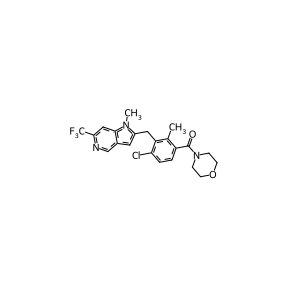 Cc1c(C(=O)N2CCOCC2)ccc(Cl)c1Cc1cc2cnc(C(F)(F)F)cc2n1C